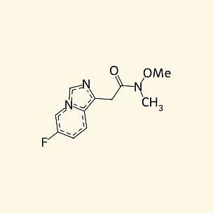 CON(C)C(=O)Cc1ncn2cc(F)ccc12